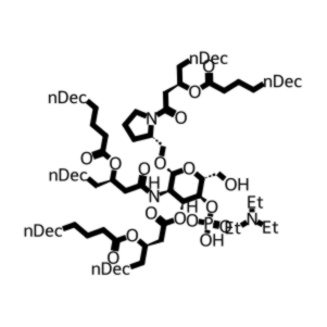 CCCCCCCCCCCCCC(=O)O[C@H](CCCCCCCCCCC)CC(=O)N[C@H]1[C@H](OC[C@@H]2CCCN2C(=O)C[C@@H](CCCCCCCCCCC)OC(=O)CCCCCCCCCCCCC)O[C@H](CO)[C@@H](OP(=O)(O)O)[C@@H]1OC(=O)C[C@@H](CCCCCCCCCCC)OC(=O)CCCCCCCCCCCCC.CCN(CC)CC